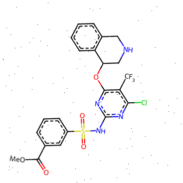 COC(=O)c1cccc(S(=O)(=O)Nc2nc(Cl)c(C(F)(F)F)c(OC3CNCc4ccccc43)n2)c1